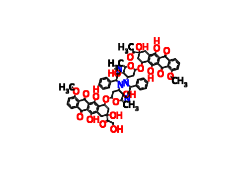 COc1cccc2c1C(=O)c1c(O)c3c(c(O)c1C2=O)C[C@@](O)(C(C)=O)C[C@@H]3OC1CC(N(C(C#N)c2ccccc2)N(C(C#N)c2ccccc2)C2CC(O[C@H]3C[C@](O)(C(=O)CO)Cc4c(O)c5c(c(O)c43)C(=O)c3c(OC)cccc3C5=O)OC(C)C2O)C(O)C(C)O1